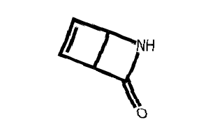 O=C1NC2C=CC12